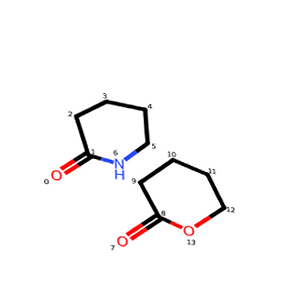 O=C1CCCCN1.O=C1CCCCO1